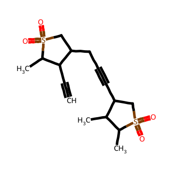 C#CC1C(CC#CC2CS(=O)(=O)C(C)C2C)CS(=O)(=O)C1C